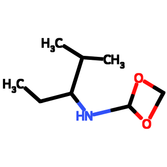 CCC(NC1OCO1)C(C)C